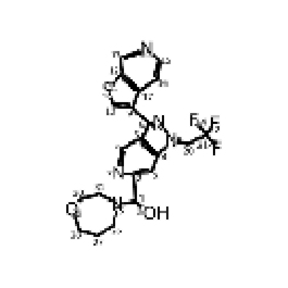 OC(c1cc2c(cn1)c(-c1csc3cnccc13)nn2CC(F)(F)F)N1CCCOCC1